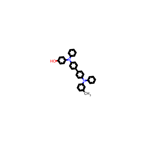 Cc1cccc(N(c2ccccc2)c2ccc(-c3ccc(N(c4ccccc4)c4ccc(O)cc4)cc3)cc2)c1